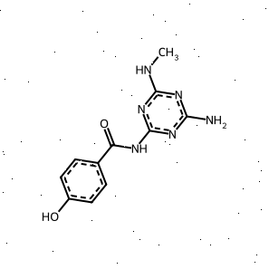 CNc1nc(N)nc(NC(=O)c2ccc(O)cc2)n1